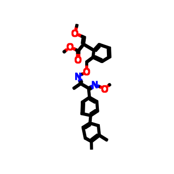 COC=C(C(=O)OC)c1ccccc1CON=C(C)C(=NOC)c1ccc(C2=CCC(C)=C(C)C2)cc1